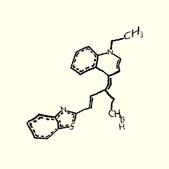 CCC(C=Cc1nc2ccccc2s1)=C1C=CN(CC)c2ccccc21.I